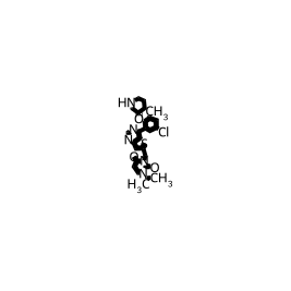 Cc1cc(Cl)cc(-c2ncnc3cc(Cn4c(=O)ccn(C(C)C)c4=O)sc23)c1O[C@H]1CCCNC1